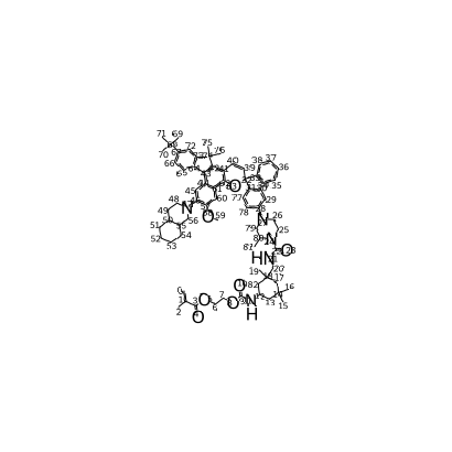 C=C(C)C(=O)OCCOC(=O)NC1CC(C)(C)CC(C)(CNC(=O)N2CCN(c3ccc(C4(c5ccccc5)C=Cc5c6c(c7cc(N8CCC9CCCCC9C8)c(OC)cc7c5O4)-c4ccc(C(C)(C)C)cc4C6(C)C)cc3)CC2C)C1